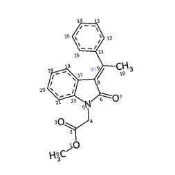 COC(=O)CN1C(=O)/C(=C(\C)c2ccccc2)c2ccccc21